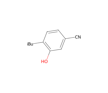 CCC(C)c1ccc(C#N)cc1O